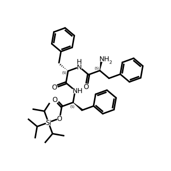 CC(C)[Si](OC(=O)[C@H](Cc1ccccc1)NC(=O)[C@H](Cc1ccccc1)NC(=O)[C@@H](N)Cc1ccccc1)(C(C)C)C(C)C